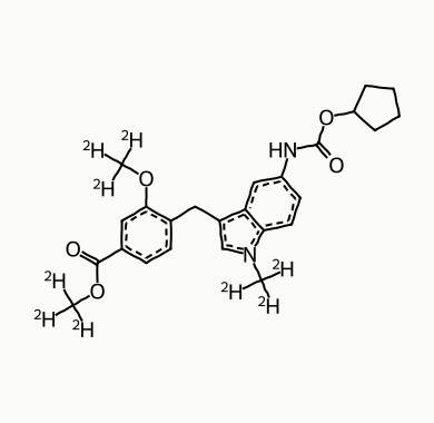 [2H]C([2H])([2H])OC(=O)c1ccc(Cc2cn(C([2H])([2H])[2H])c3ccc(NC(=O)OC4CCCC4)cc23)c(OC([2H])([2H])[2H])c1